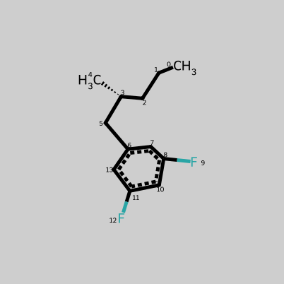 CCC[C@@H](C)Cc1cc(F)cc(F)c1